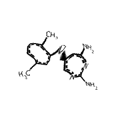 Cc1ccc(C)c(Oc2cnc(N)nc2N)c1